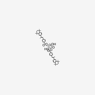 CO[C@@H]1[C@@H](OC(=O)c2ccc(/C=C(\C)c3ccc4c(c3)C(C)(C)CCC4(C)C)cc2)[C@H](O)[C@@H](COC(=O)c2ccc(/C=C(\C)c3ccc4c(c3)C(C)(C)CCC4(C)C)cc2)O[C@@H]1O